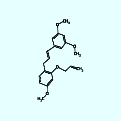 C=CCOc1cc(OC)ccc1C/C=C/c1cc(OC)cc(OC)c1